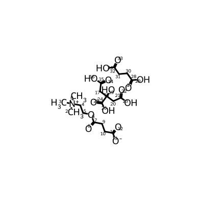 C[N+](C)(C)CCOC(=O)CCC(=O)[O-].O=C(O)CC(O)(CC(=O)O)C(=O)O.O=C(O)CCC(=O)O